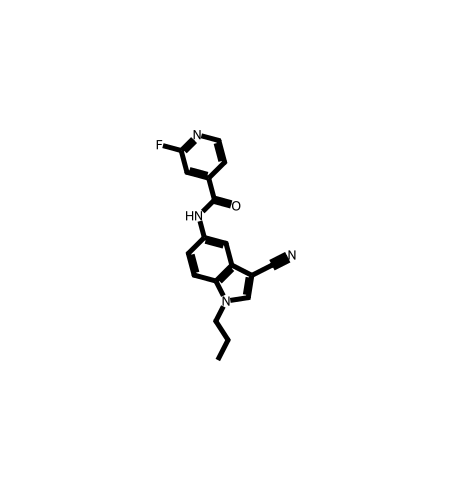 CCCn1cc(C#N)c2cc(NC(=O)c3ccnc(F)c3)ccc21